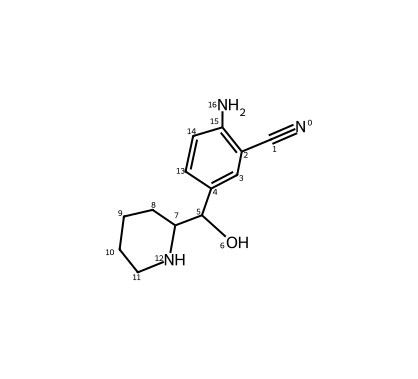 N#Cc1cc(C(O)C2CCCCN2)ccc1N